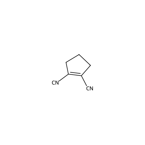 [C-]#[N+]C1=C(C#N)CCC1